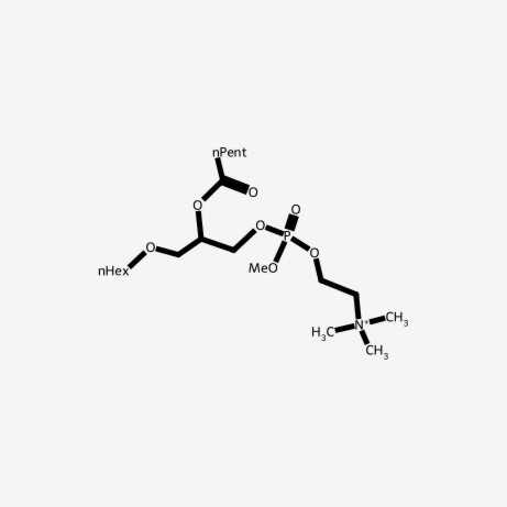 CCCCCCOCC(COP(=O)(OC)OCC[N+](C)(C)C)OC(=O)CCCCC